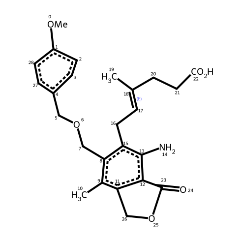 COc1ccc(COCc2c(C)c3c(c(N)c2C/C=C(\C)CCC(=O)O)C(=O)OC3)cc1